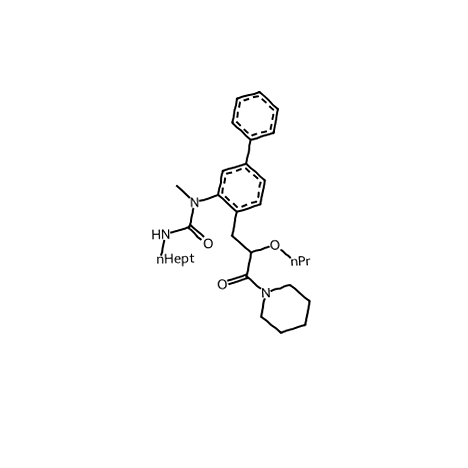 CCCCCCCNC(=O)N(C)c1cc(-c2ccccc2)ccc1CC(OCCC)C(=O)N1CCCCC1